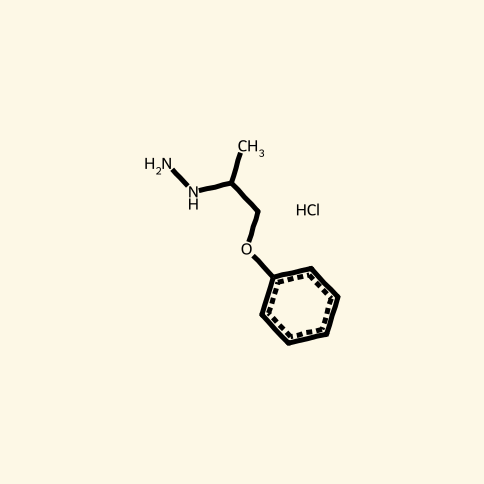 CC(COc1ccccc1)NN.Cl